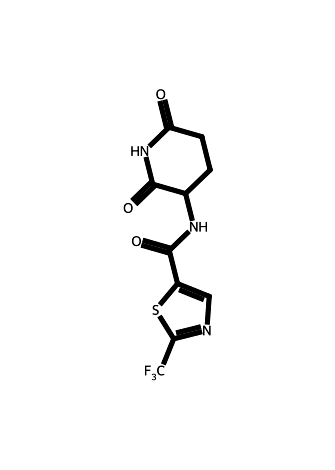 O=C1CCC(NC(=O)c2cnc(C(F)(F)F)s2)C(=O)N1